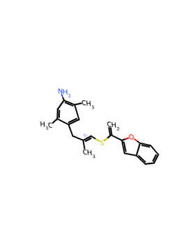 C=C(S/C=C(\C)Cc1cc(C)c(N)cc1C)c1cc2ccccc2o1